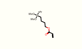 C=CC(=O)OCCCC[Si](CCC)(OC)OC